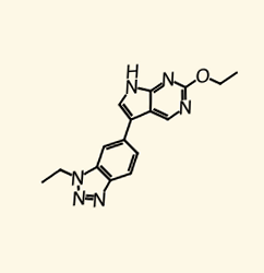 CCOc1ncc2c(-c3ccc4nnn(CC)c4c3)c[nH]c2n1